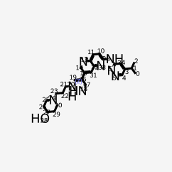 CC(C)c1cnnc(Nc2ccc3ncc(/C(C=N)=C/NCCCN4CCC(O)CC4)cc3n2)c1